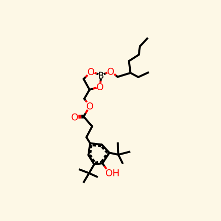 CCCCC(CC)COB1OCC(COC(=O)CCc2cc(C(C)(C)C)c(O)c(C(C)(C)C)c2)O1